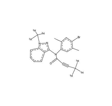 [2H]C([2H])([2H])C#CC(=O)N(c1cc(C)c(Br)cc1C)c1nn(C([2H])([2H])[2H])c2ccccc12